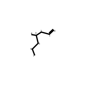 C=CCC(C)C[CH]C